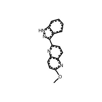 COc1ccc2nc(-c3n[nH]c4ccccc34)ccc2n1